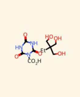 CCC(CO)(CO)CO.O=C(O)n1c(=O)[nH]c(=O)[nH]c1=O